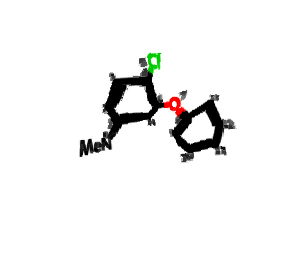 CNc1ccc(Cl)c(Oc2ccccc2)c1